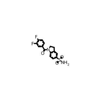 NS(=O)(=O)c1ccc2c(c1)CCN2C(=O)c1ccc(F)c(F)c1